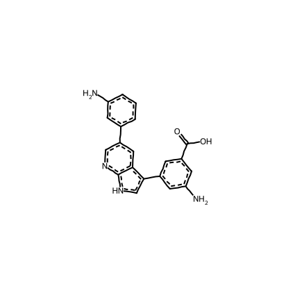 Nc1cccc(-c2cnc3[nH]cc(-c4cc(N)cc(C(=O)O)c4)c3c2)c1